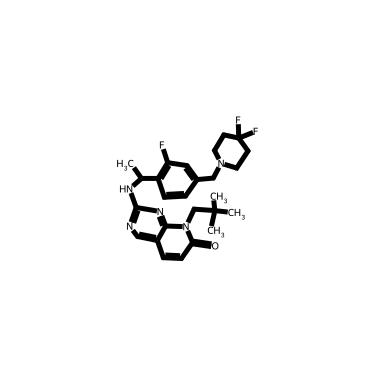 CC(Nc1ncc2ccc(=O)n(CC(C)(C)C)c2n1)c1ccc(CN2CCC(F)(F)CC2)cc1F